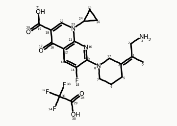 C/C(CN)=C1\CCCN(c2nc3c(cc2F)c(=O)c(C(=O)O)cn3C2CC2)C1.O=C(O)C(F)(F)F